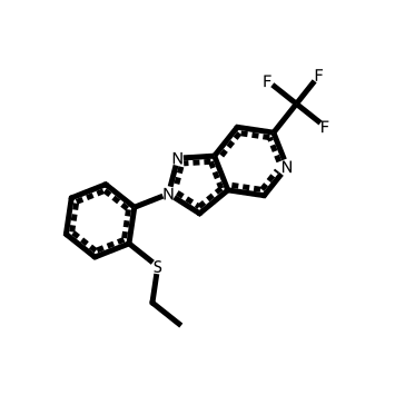 CCSc1ccccc1-n1cc2cnc(C(F)(F)F)cc2n1